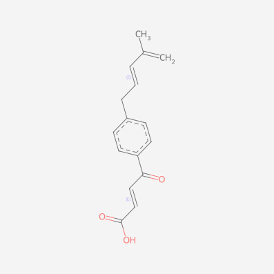 C=C(C)/C=C/Cc1ccc(C(=O)/C=C/C(=O)O)cc1